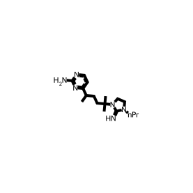 CCCN1CCN(C(C)(C)CCC(C)c2ccnc(N)n2)C1=N